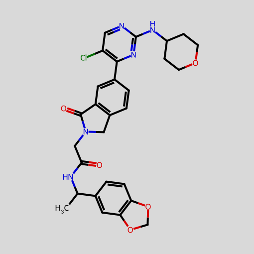 CC(NC(=O)CN1Cc2ccc(-c3nc(NC4CCOCC4)ncc3Cl)cc2C1=O)c1ccc2c(c1)OCO2